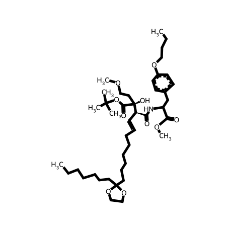 CCCCCCCC1(CCCCCC/C=C/[C@H](C(=O)NC(Cc2ccc(OCCCC)cc2)C(=O)OC)[C@@](O)(CCOC)C(=O)OC(C)(C)C)OCCO1